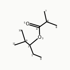 CCC(OC(=O)C(C)C)C(C)C